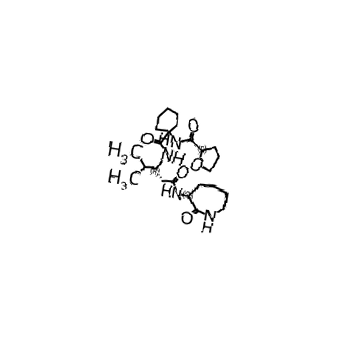 CC(C)[C@@H](CC(=O)N[C@H]1CCCCNC1=O)NC(=O)C1(NC(=O)[C@H]2CCCO2)CCCCC1